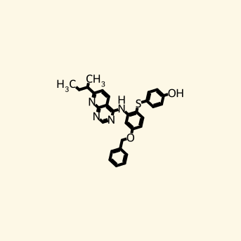 CCC(C)c1ccc2c(Nc3cc(OCc4ccccc4)ccc3Sc3ccc(O)cc3)ncnc2n1